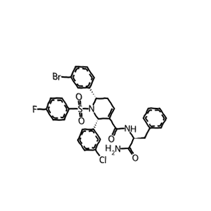 NC(=O)[C@H](Cc1ccccc1)NC(=O)C1=CC[C@@H](c2cccc(Br)c2)N(S(=O)(=O)c2ccc(F)cc2)[C@H]1c1cccc(Cl)c1